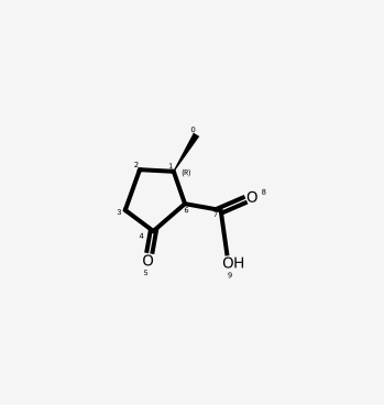 C[C@@H]1CCC(=O)C1C(=O)O